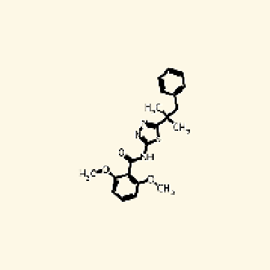 COc1cccc(OC)c1C(=O)Nc1nnc(C(C)(C)Cc2ccccc2)s1